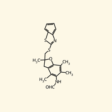 Cc1c(C)c2c(c(C)c1NC=O)CC(C)(CSc1nc3ccccc3s1)O2